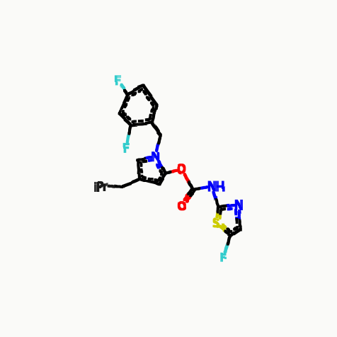 CC(C)Cc1cc(OC(=O)Nc2ncc(F)s2)n(Cc2ccc(F)cc2F)c1